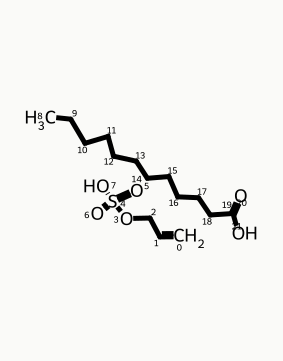 C=CCOS(=O)(=O)O.CCCCCCCCCCCC(=O)O